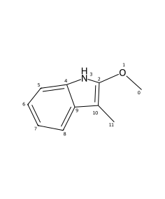 COc1[nH]c2ccccc2c1C